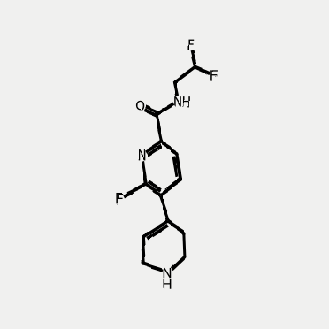 O=C(NCC(F)F)c1ccc(C2=CCNCC2)c(F)n1